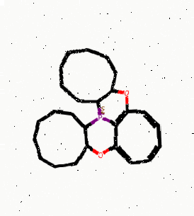 S=P12C3=C(\C=C/C=C\C=C3\OC3CCCCCCCC31)OC1CCCCCCCC12